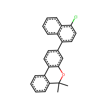 CC1(C)Oc2cc(-c3ccc(Cl)c4ccccc34)ccc2-c2ccccc21